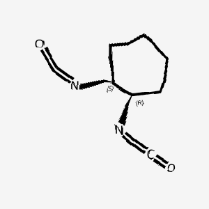 O=C=N[C@H]1CCCC[C@H]1N=C=O